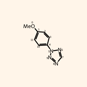 COc1ccc(-n2n[c]nn2)cc1